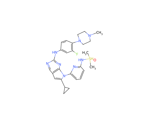 CN1CCN(c2ccc(Nc3ncc4cc(C5CC5)n(-c5cccc(N[SH](C)(C)=O)n5)c4n3)cc2F)CC1